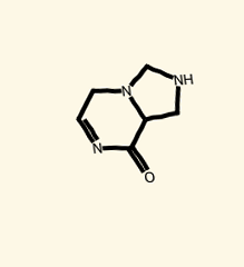 O=C1N=CCN2CNCC12